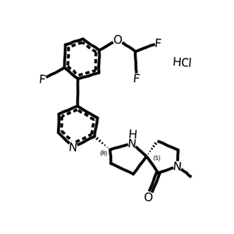 CN1CC[C@@]2(CC[C@H](c3cc(-c4cc(OC(F)F)ccc4F)ccn3)N2)C1=O.Cl